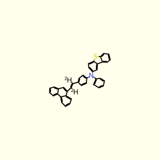 [2H]/C(=C(/[2H])c1cc2ccccc2c2ccccc12)c1ccc(N(c2ccccc2)c2ccc3sc4ccccc4c3c2)cc1